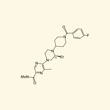 CC[C@H]1CN(c2ncc(C(=O)NC)nc2C)CCN1C1CCN(C(=O)c2ccc(F)cc2)CC1